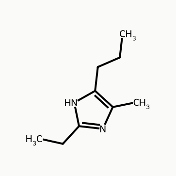 CCCc1[nH]c(CC)nc1C